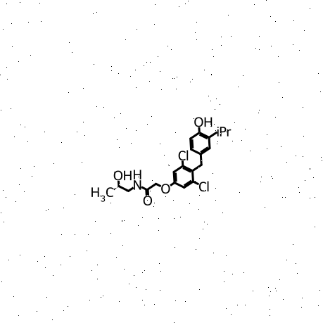 CC(C)c1cc(Cc2c(Cl)cc(OCC(=O)NC[C@H](C)O)cc2Cl)ccc1O